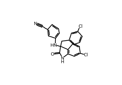 N#Cc1cccc(NC2(Cc3cccc(Cl)c3)C(=O)Nc3cc(Cl)ccc32)c1